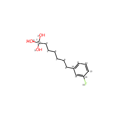 O[Si](O)(O)CCCCCCc1cccc(F)c1